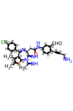 CC(=N)N1C(=N)[C@H](CC(=O)Nc2ccc(C#CCN)c(C=O)c2)N=C(c2ccc(Cl)cc2)c2c1sc(C)c2C